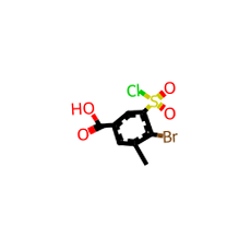 Cc1cc(C(=O)O)cc(S(=O)(=O)Cl)c1Br